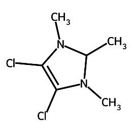 CC1N(C)C(Cl)=C(Cl)N1C